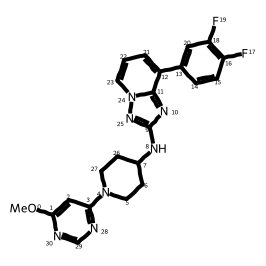 COc1cc(N2CCC(Nc3nc4c(-c5ccc(F)c(F)c5)cccn4n3)CC2)ncn1